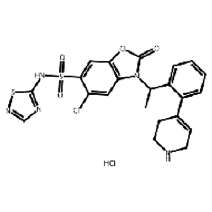 CC(c1ccccc1C1=CCNCC1)n1c(=O)oc2cc(S(=O)(=O)Nc3ncns3)c(Cl)cc21.Cl